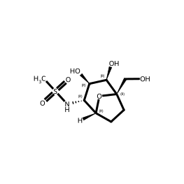 CS(=O)(=O)N[C@@H]1[C@@H](O)[C@@H](O)[C@]2(CO)CC[C@H]1O2